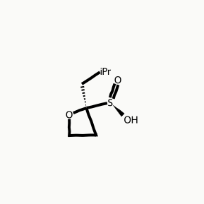 CC(C)C[C@]1([S@@](=O)O)CCO1